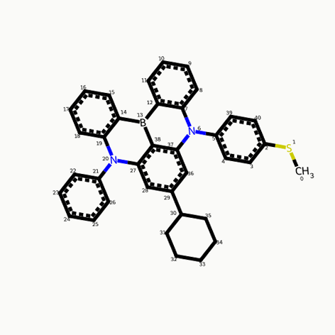 CSc1ccc(N2c3ccccc3B3c4ccccc4N(c4ccccc4)c4cc(C5CCCCC5)cc2c43)cc1